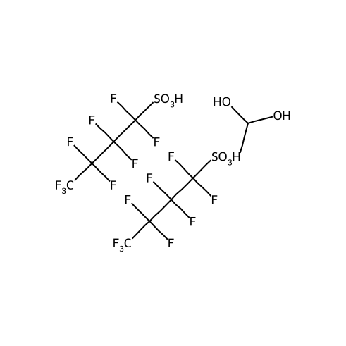 CC(O)O.O=S(=O)(O)C(F)(F)C(F)(F)C(F)(F)C(F)(F)F.O=S(=O)(O)C(F)(F)C(F)(F)C(F)(F)C(F)(F)F